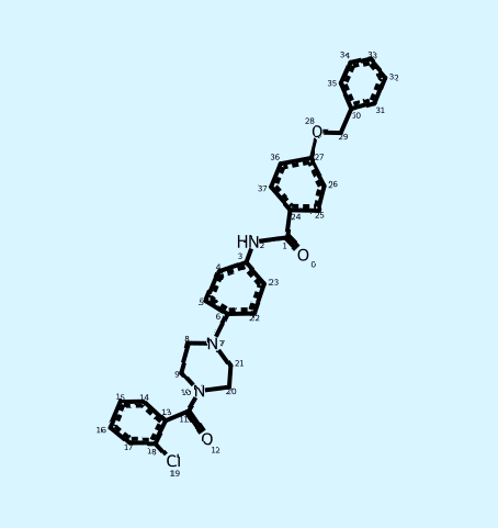 O=C(Nc1ccc(N2CCN(C(=O)c3ccccc3Cl)CC2)cc1)c1ccc(OCc2ccccc2)cc1